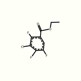 CCOC(=O)c1cc(F)c(F)c(Cl)c1F